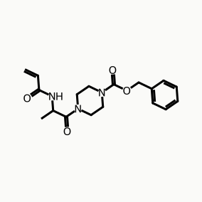 C=CC(=O)NC(C)C(=O)N1CCN(C(=O)OCc2ccccc2)CC1